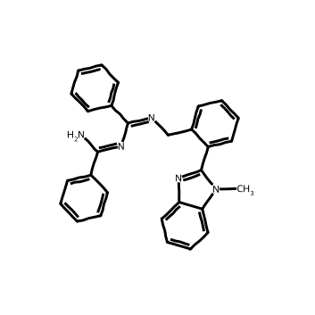 Cn1c(-c2ccccc2C/N=C(\N=C(/N)c2ccccc2)c2ccccc2)nc2ccccc21